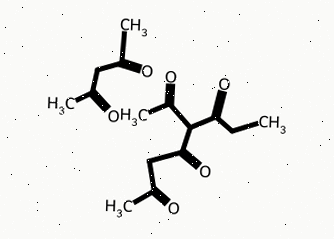 CC(=O)CC(C)=O.CCC(=O)C(C(C)=O)C(=O)CC(C)=O